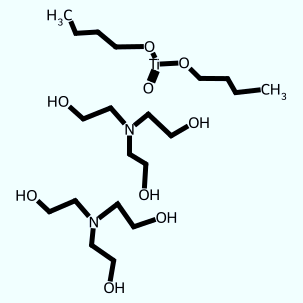 CCCC[O][Ti](=[O])[O]CCCC.OCCN(CCO)CCO.OCCN(CCO)CCO